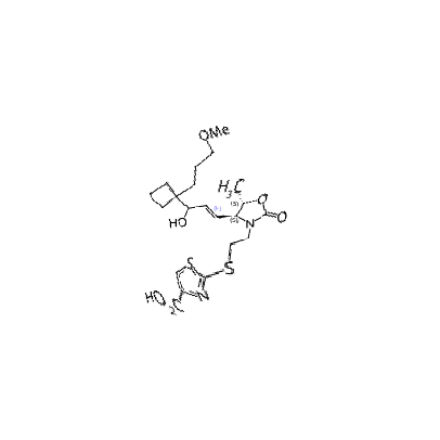 COCCCC1(C(O)/C=C/[C@H]2[C@H](C)OC(=O)N2CCSc2nc(C(=O)O)cs2)CCC1